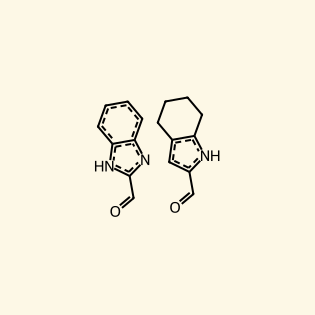 O=Cc1cc2c([nH]1)CCCC2.O=Cc1nc2ccccc2[nH]1